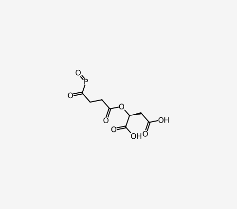 O=PC(=O)CCC(=O)O[C@@H](CC(=O)O)C(=O)O